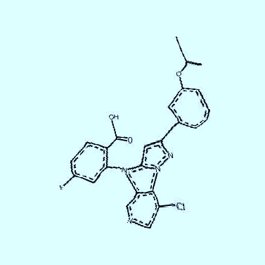 CC(C)Oc1cccc(-c2cc3n(-c4cc(F)ccc4C(=O)O)c4cncc(Cl)c4n3n2)c1